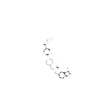 CCC(=O)N(Cc1ccc2nnn(C)c2c1)CC1CCN(c2ncc(C(=O)NO)cn2)CC1